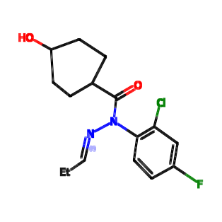 CC/C=N/N(C(=O)C1CCC(O)CC1)c1ccc(F)cc1Cl